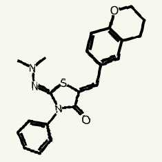 CN(C)/N=C1\S/C(=C\c2ccc3c(c2)CCCO3)C(=O)N1c1ccccc1